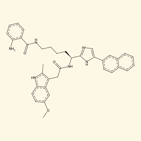 COc1ccc2[nH]c(C)c(CC(=O)N[C@@H](CCCCNC(=O)c3ccccc3N)C3=[N+]C=C(c4ccc5ccccc5c4)N3)c2c1